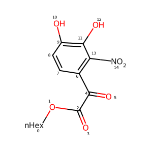 CCCCCCOC(=O)C(=O)c1ccc(O)c(O)c1[N+](=O)[O-]